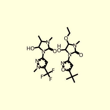 CC1C(O)N(c2cc(C(F)(F)F)n(C)n2)C(=O)N1C.CCOC1C(O)N(c2cc(C(C)(C)C)on2)C(=O)N1C